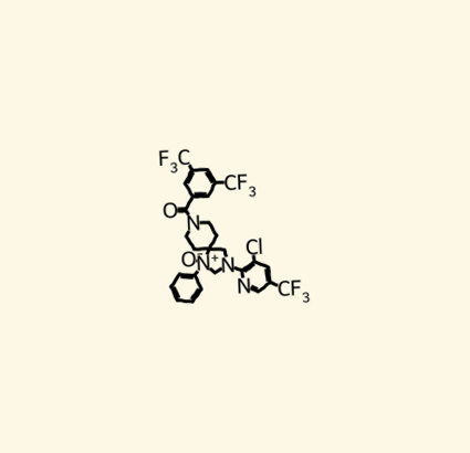 O=C(c1cc(C(F)(F)F)cc(C(F)(F)F)c1)N1CCC2(CC1)CN(c1ncc(C(F)(F)F)cc1Cl)C[N+]2([O-])c1ccccc1